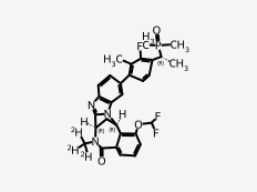 [2H]C([2H])([2H])N1C(=O)c2cccc(OC(F)F)c2[C@H]2C[C@@H]1c1nc3ccc(-c4ccc([C@@H](C)P(C)(C)=O)c(F)c4C)cc3n12